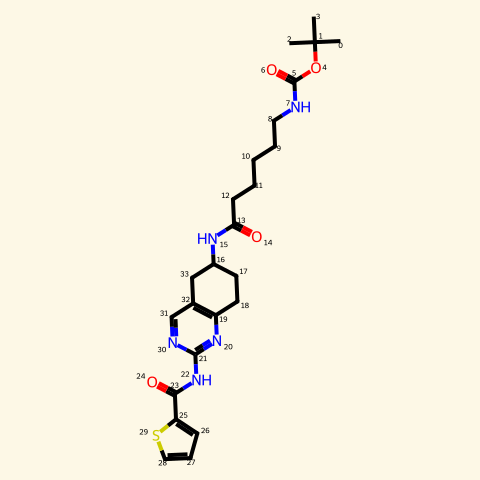 CC(C)(C)OC(=O)NCCCCCC(=O)NC1CCc2nc(NC(=O)c3cccs3)ncc2C1